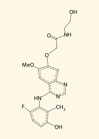 COc1cc2c(Nc3c(F)ccc(O)c3C)ncnc2cc1OCC(=O)NCCO